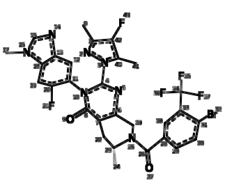 Cc1nn(-c2nc3c(c(=O)n2-c2cc4ncn(C)c4cc2F)C[C@@H](C)N(C(=O)c2ccc(Br)c(C(F)(F)F)c2)C3)c(C)c1F